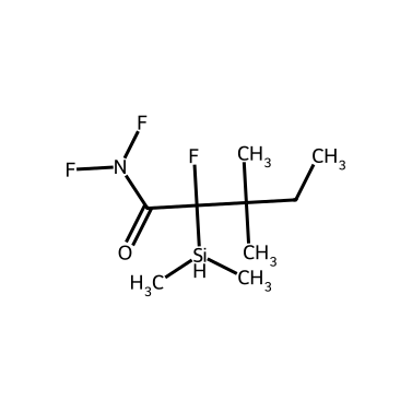 CCC(C)(C)C(F)(C(=O)N(F)F)[SiH](C)C